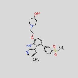 CCS(=O)(=O)c1cccc(-c2ccc(OCCN3CCC(O)CC3)c3[nH]c4ncc(C)cc4c23)c1